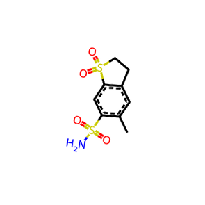 Cc1cc2c(cc1S(N)(=O)=O)S(=O)(=O)CC2